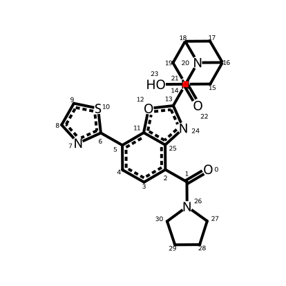 O=C(c1ccc(-c2nccs2)c2oc(N3CC4CC(C3)N4C(=O)O)nc12)N1CCCC1